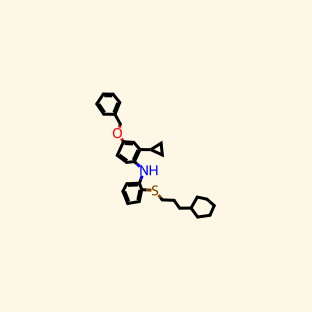 c1ccc(COc2ccc(Nc3ccccc3SCCCC3CCCCC3)c(C3CC3)c2)cc1